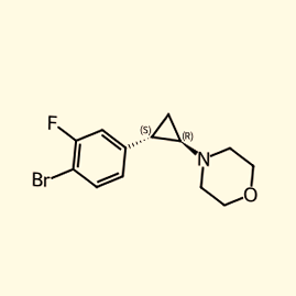 Fc1cc([C@@H]2C[C@H]2N2CCOCC2)ccc1Br